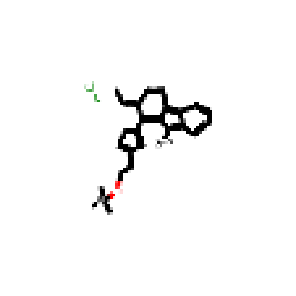 CC=c1ccc2c(c1C1=CC(CCO[Si](C)(C)C)=CC1)[C]([Zr+2])=c1ccccc1=2.[Cl-].[Cl-]